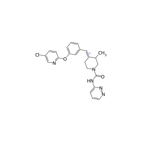 CC1CN(C(=O)Nc2cccnn2)CC/C1=C\c1cccc(Oc2ccc(Cl)cn2)c1